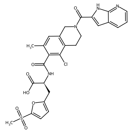 Cc1cc2c(c(Cl)c1C(=O)N[C@@H](Cc1ccc(S(C)(=O)=O)o1)C(=O)O)CCN(C(=O)c1cc3cccnc3[nH]1)C2